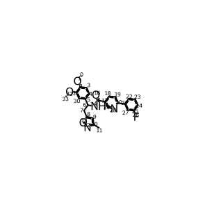 COc1ccc(C(Cc2cc(C)no2)NC(=O)c2ccc(-c3cccc(F)c3)nc2)cc1OC